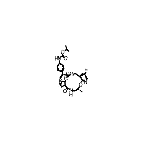 CC(C)OC(=O)Nc1ccc(C2=CN3N=CC4C(=O)NC[C@H](C)Oc5ncc(F)cc5CNC2=NC43)cc1